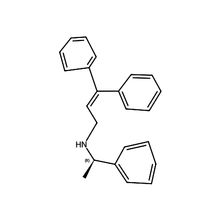 C[C@@H](NCC=C(c1ccccc1)c1ccccc1)c1ccccc1